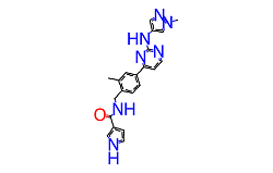 Cc1cc(-c2ccnc(Nc3cnn(C)c3)n2)ccc1CNC(=O)c1cc[nH]c1